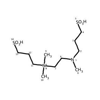 CN(CCCS(=O)(=O)O)CC[N+](C)(C)CCCS(=O)(=O)O